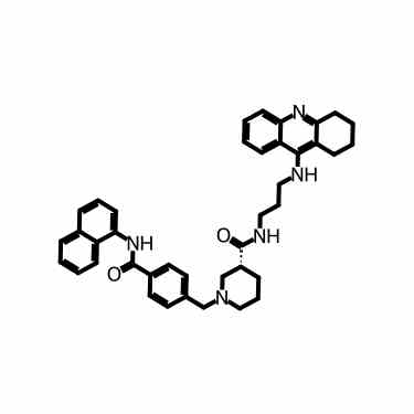 O=C(Nc1cccc2ccccc12)c1ccc(CN2CCC[C@@H](C(=O)NCCCNc3c4c(nc5ccccc35)CCCC4)C2)cc1